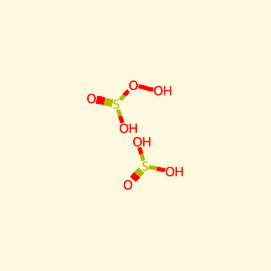 O=S(O)O.O=S(O)OO